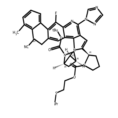 Cc1cccc(-c2c(CCC#N)cc3c(nc(-n4cncn4)c4cc([C@H]5CCCN5C(=O)OCCSC(C)C)n([C@H]5[C@@H]6C[C@H]5N(C(=O)OC(C)(C)C)C6)c43)c2F)c1Cl